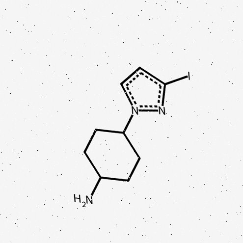 NC1CCC(n2ccc(I)n2)CC1